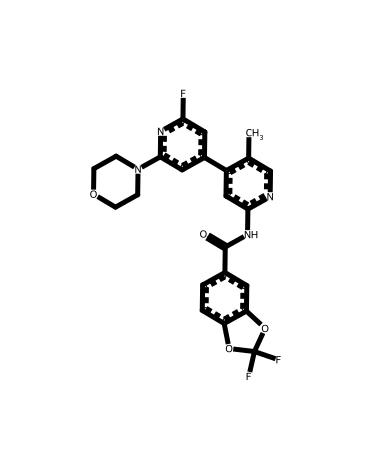 Cc1cnc(NC(=O)c2ccc3c(c2)OC(F)(F)O3)cc1-c1cc(F)nc(N2CCOCC2)c1